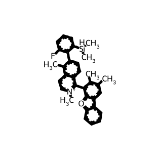 Cc1cc2c(oc3ccccc32)c(-c2c3ccc(-c4c(F)cccc4[SiH](C)C)c(C)c3cc[n+]2C)c1C